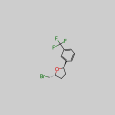 FC(F)(F)c1cccc([C@H]2CC[C@H](CBr)O2)c1